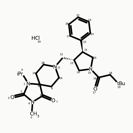 CC(C)N1C(=O)N(C)C(=O)C12CCN(C[C@H]1CN(C(=O)CC(C)(C)C)C[C@@H]1c1ccccc1)CC2.Cl